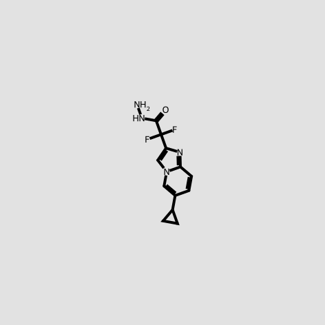 NNC(=O)C(F)(F)c1cn2cc(C3CC3)ccc2n1